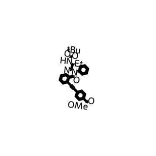 CC[C@H](NC(=O)OC(C)(C)C)c1nc2cccc(C#Cc3ccc(C(=O)OC)cc3)c2c(=O)n1-c1ccccc1